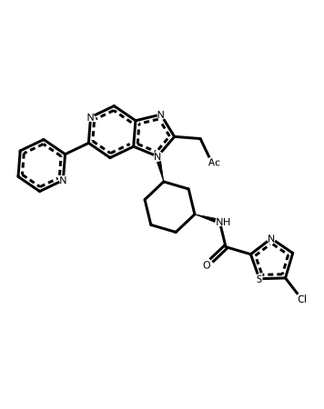 CC(=O)Cc1nc2cnc(-c3ccccn3)cc2n1[C@@H]1CCC[C@H](NC(=O)c2ncc(Cl)s2)C1